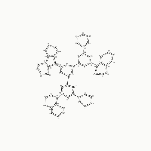 c1ccc(-c2nc(-c3cc(-c4cc(-c5cccc6ccccc56)nc(-c5ccccc5)n4)cc(-n4c5ccccc5c5ccccc54)c3)cc(-c3cccc4ccccc34)n2)cc1